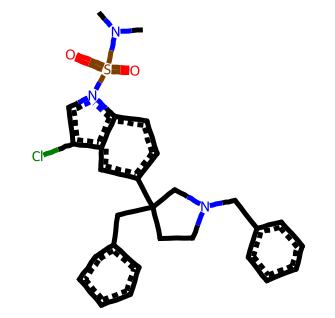 CN(C)S(=O)(=O)n1cc(Cl)c2cc(C3(Cc4ccccc4)CCN(Cc4ccccc4)C3)ccc21